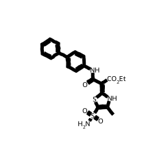 CCOC(=O)/C(C(=O)Nc1ccc(-c2ccccc2)cc1)=C1\NC(C)=C(S(N)(=O)=O)S1